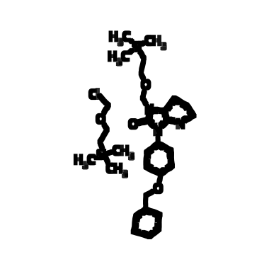 C[Si](C)(C)CCOCCl.C[Si](C)(C)CCOCn1c(=O)n(-c2ccc(OCc3ccccc3)cc2)c2ncccc21